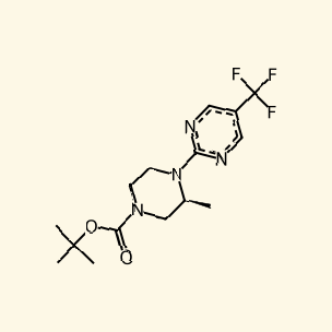 C[C@H]1CN(C(=O)OC(C)(C)C)CCN1c1ncc(C(F)(F)F)cn1